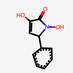 O=C1C(O)=CC(c2ccccc2)N1O